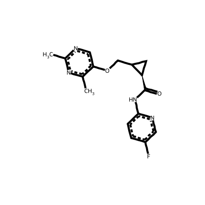 Cc1ncc(OCC2C[C@H]2C(=O)Nc2ccc(F)cn2)c(C)n1